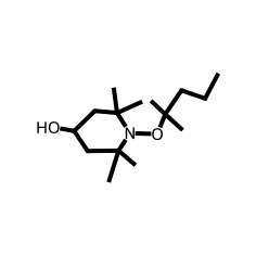 CCCC(C)(C)ON1C(C)(C)CC(O)CC1(C)C